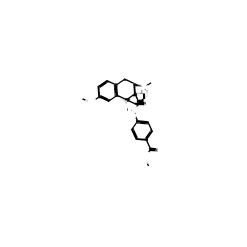 COC(=O)c1ccc(NC(=O)[C@H]2C3Cc4ccc(OC)cc4[C@@]2(C)CCN3C)cc1